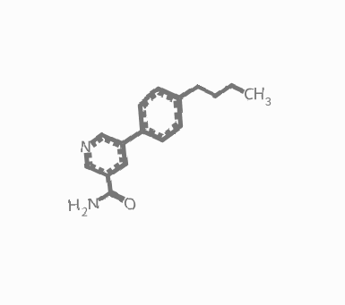 CCCCc1ccc(-c2cncc(C(N)=O)c2)cc1